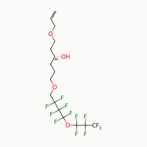 C=CCOCC[C@H](O)CCCOCC(F)(F)C(F)(F)C(F)(F)OC(F)(F)C(F)(F)C(F)(F)F